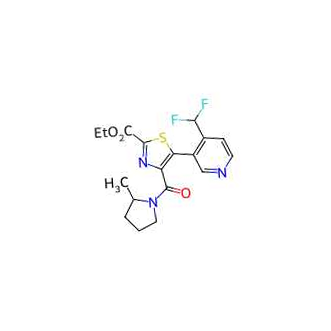 CCOC(=O)c1nc(C(=O)N2CCCC2C)c(-c2cnccc2C(F)F)s1